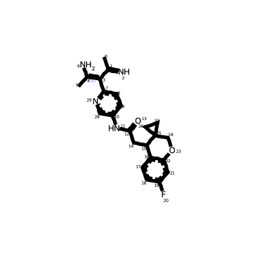 CC(=N)/C(=C(/C)N)c1ccc(NC(=O)CC2c3ccc(F)cc3OCC23CC3)cn1